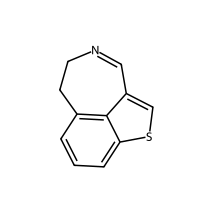 C1=NCCc2cccc3scc1c23